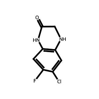 O=C1CNc2cc(Cl)c(F)cc2N1